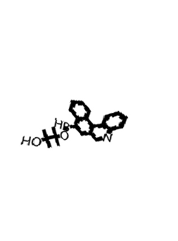 CC(C)(O)C(C)(C)OBc1cc2cnc3ccccc3c2c2ccccc12